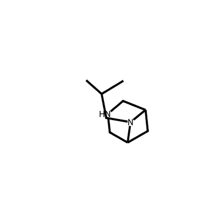 CC(C)CN1C2CNCC1C2